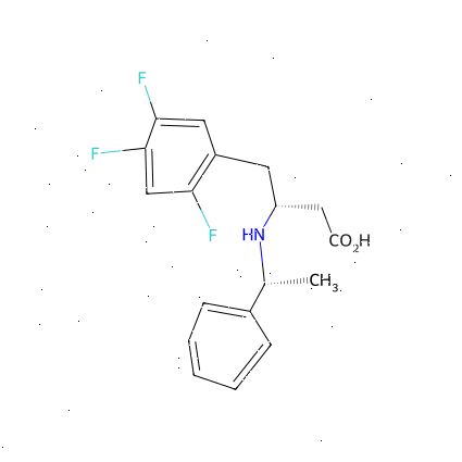 C[C@@H](N[C@@H](CC(=O)O)Cc1cc(F)c(F)cc1F)c1ccccc1